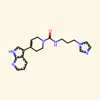 O=C(NCCCn1ccnc1)N1CC=C(c2c[nH]c3ncccc23)CC1